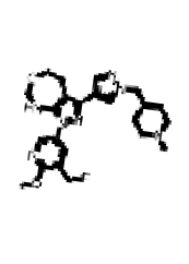 COc1ncc(-n2nc(-c3cnn(CC4CCN(C)CC4)c3)c3c2NCOCC3)cc1CF